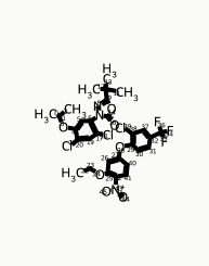 CC(C)Oc1cc(-n2nc(C(C)(C)C)oc2=O)c(Cl)cc1Cl.CCOc1cc(Oc2ccc(C(F)(F)F)cc2Cl)ccc1[N+](=O)[O-]